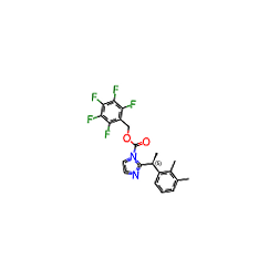 Cc1cccc([C@H](C)c2nccn2C(=O)OCc2c(F)c(F)c(F)c(F)c2F)c1C